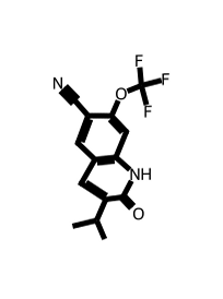 CC(C)c1cc2cc(C#N)c(OC(F)(F)F)cc2[nH]c1=O